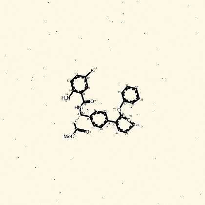 COC(=O)C[C@H](NC(=O)c1cc(Br)ccc1N)c1ccc(-c2ccccc2Oc2ccccc2)cc1